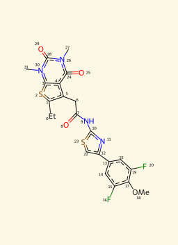 CCc1sc2c(c1CC(=O)Nc1nc(-c3cc(F)c(OC)c(F)c3)cs1)c(=O)n(C)c(=O)n2C